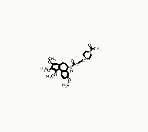 COc1ccc2c(c1)[C@@H](NC(=O)OCCN1CCN(C(C)=O)CC1)CCc1cc(OC)c(OC)c(OC)c1-2